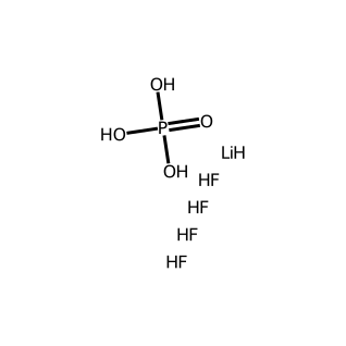 F.F.F.F.O=P(O)(O)O.[LiH]